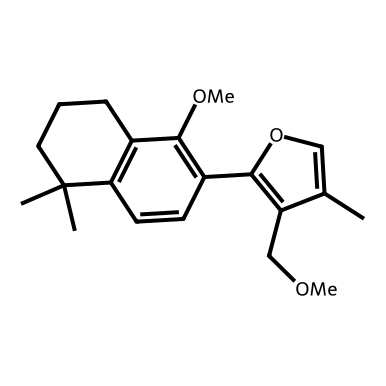 COCc1c(C)coc1-c1ccc2c(c1OC)CCCC2(C)C